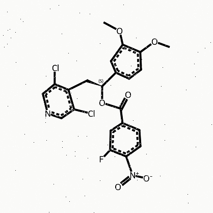 COc1ccc([C@H](Cc2c(Cl)cncc2Cl)OC(=O)c2ccc([N+](=O)[O-])c(F)c2)cc1OC